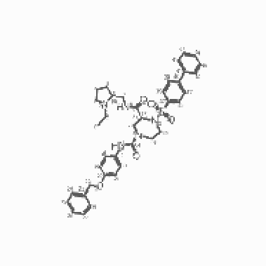 CCN1CCC[C@H]1CNC(=O)[C@@H]1CN(C(=O)Nc2ccc(OCc3ccccc3)cc2)CCN1S(=O)(=O)c1ccc(-c2ccccc2)cc1